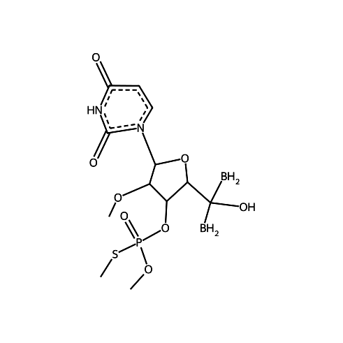 BC(B)(O)C1OC(n2ccc(=O)[nH]c2=O)C(OC)C1OP(=O)(OC)SC